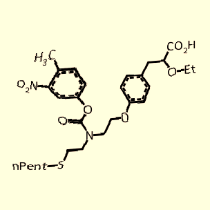 CCCCCSCCN(CCOc1ccc(CC(OCC)C(=O)O)cc1)C(=O)Oc1ccc(C)c([N+](=O)[O-])c1